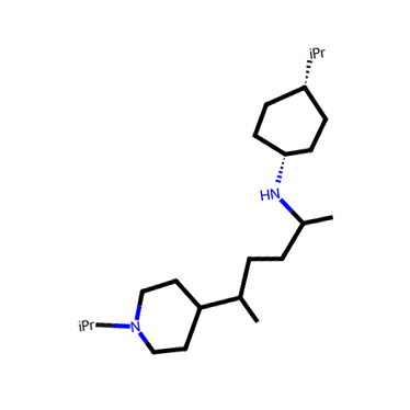 CC(CCC(C)C1CCN(C(C)C)CC1)N[C@H]1CC[C@@H](C(C)C)CC1